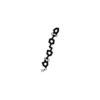 CCOc1ccc2nc(-c3ccc(/C=C/c4ccc(-c5nc6ccccc6o5)cc4)cc3)oc2c1